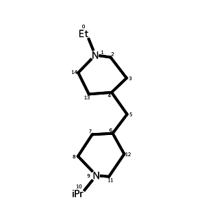 CCN1CCC(CC2CCN(C(C)C)CC2)CC1